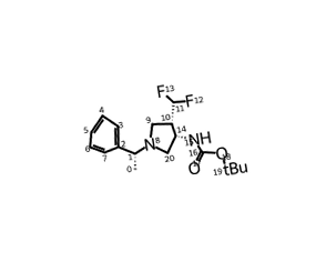 C[C@H](c1ccccc1)N1C[C@H](C(F)F)[C@H](NC(=O)OC(C)(C)C)C1